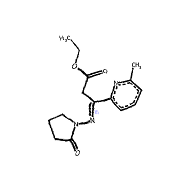 CCOC(=O)C/C(=N\N1CCCC1=O)c1cccc(C)n1